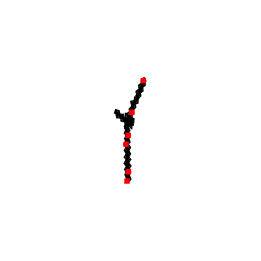 CCCCCCCCCCCCCCCCCCCN1C=CN(CCCCCCCCCCCCCC)C1CCCCC